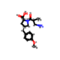 COc1ccc(C[C@@H]2C[C@@H](C(=O)O)N(C(=O)C(C)CN)C2)cc1